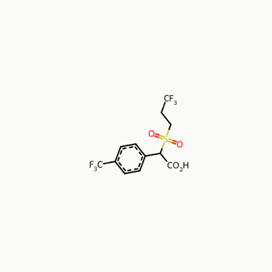 O=C(O)C(c1ccc(C(F)(F)F)cc1)S(=O)(=O)CCC(F)(F)F